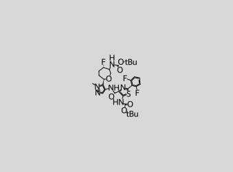 Cn1ncc(NC(=O)c2nc(-c3c(F)cccc3F)sc2NC(=O)OC(C)(C)C)c1[C@H]1CC[C@H](F)[C@@H](NC(=O)OC(C)(C)C)CO1